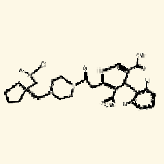 CCN(CC1(CN2CCN(C(=O)CC3=C(C(=O)OC)C(c4c(Cl)cccc4Cl)C(C(=O)OC)=CN3)CC2)CCCC1)C(C)=O